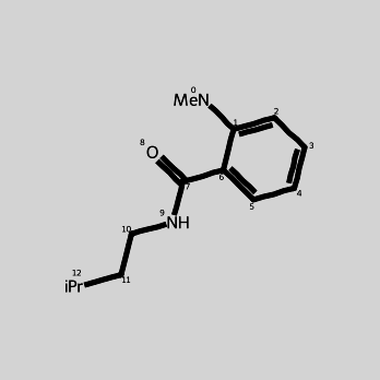 CNc1ccccc1C(=O)NCCC(C)C